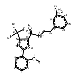 COc1ccccc1-c1nc(C(F)(F)F)c(C(=O)NCCc2cccc(N)c2)s1